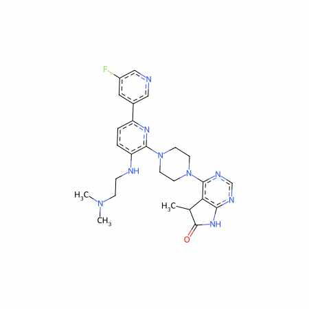 CC1C(=O)Nc2ncnc(N3CCN(c4nc(-c5cncc(F)c5)ccc4NCCN(C)C)CC3)c21